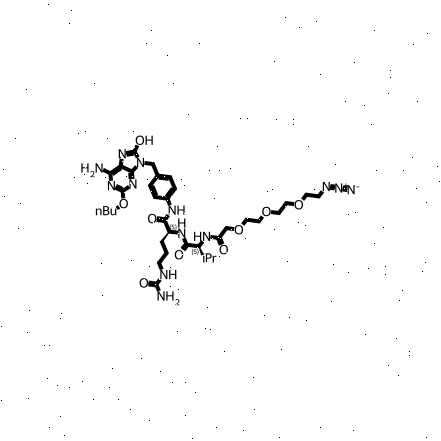 CCCCOc1nc(N)c2nc(O)n(Cc3ccc(NC(=O)[C@H](CCCNC(N)=O)NC(=O)[C@@H](NC(=O)COCCOCCOCCN=[N+]=[N-])C(C)C)cc3)c2n1